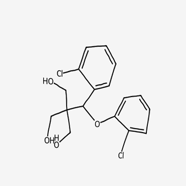 OCC(CO)(CO)C(Oc1ccccc1Cl)c1ccccc1Cl